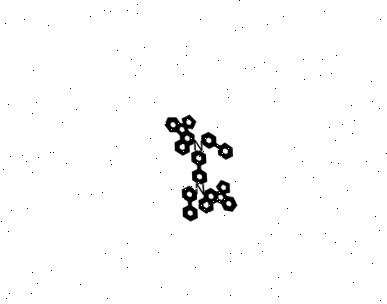 c1ccc(-c2cccc(N(c3ccc(-c4ccc(N(c5cccc(-c6ccccc6)c5)c5cc6c(c7ccccc57)-c5ccccc5C65CCCC5)cc4)cc3)c3cc4c(c5ccccc35)-c3ccccc3C43CCCC3)c2)cc1